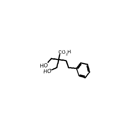 O=C(O)C(CO)(CO)CCc1ccccc1